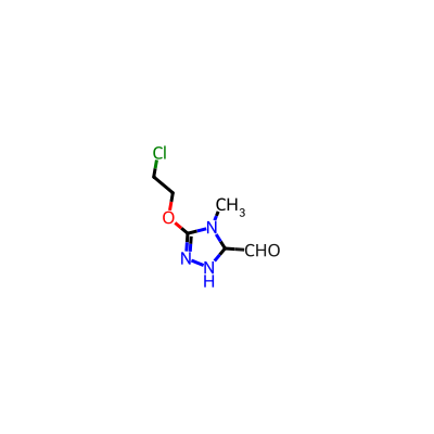 CN1C(OCCCl)=NNC1C=O